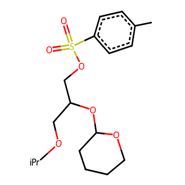 Cc1ccc(S(=O)(=O)OCC(COC(C)C)OC2CCCCO2)cc1